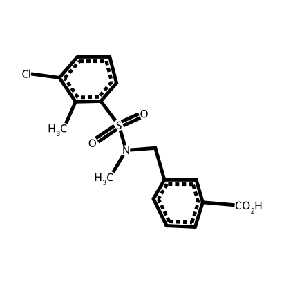 Cc1c(Cl)cccc1S(=O)(=O)N(C)Cc1cccc(C(=O)O)c1